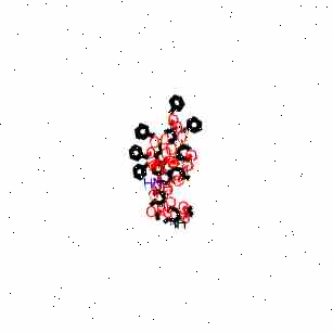 CC(=N)C(O[C@@H]1C(O[C@@H]2OC(C)[C@H](C)[C@@H]3OC(C)(C)OC23)[C@@H](OC(C)=O)C(C)O[C@@H]1O)[C@@H]1OC(C)[C@H](O[C@@H]2OC[C@@H](C)C(O[C@@H]3OC[C@@]4(COCc5ccccc5)O[C@@H](c5ccccc5)OC34)[C@H]2OCc2ccccc2)C(O[C@@H]2OC(COCc3ccccc3)[C@@H](OCc3ccccc3)C(OCc3ccccc3)[C@H]2C)[C@@H]1C